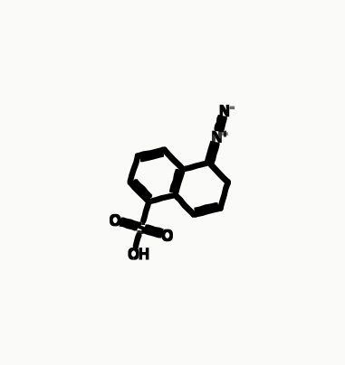 [N-]=[N+]=C1CC=Cc2c1cccc2S(=O)(=O)O